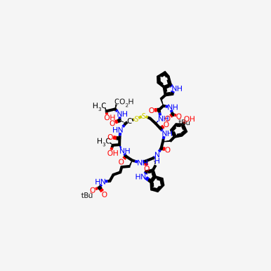 C[C@@H](O)[C@H](NC(=O)[C@@H]1CSSC[C@H](NC(=O)[C@@H](Cc2c[nH]c3ccccc23)NC(=O)OC(C)(C)C)C(=O)N[C@@H](Cc2ccc(O)cc2)C(=O)N[C@H](Cc2c[nH]c3ccccc23)C(=O)N[C@@H](CCCCCNC(=O)OC(C)(C)C)C(=O)N[C@@H]([C@@H](C)O)C(=O)N1)C(=O)O